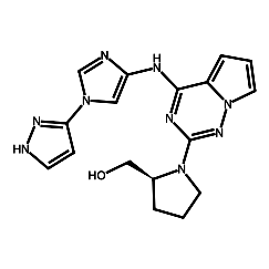 OC[C@@H]1CCCN1c1nc(Nc2cn(-c3cc[nH]n3)cn2)c2cccn2n1